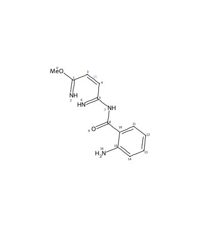 COC(=N)/C=C\C(=N)NC(=O)c1ccccc1N